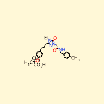 CCn1c(CCCc2ccc(OC(C)(C)C(=O)O)cc2)nn(CC(=O)NCc2ccc(C)cc2)c1=O